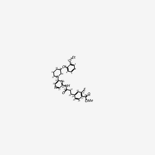 CCOc1ccccc1OC1CCCN(c2cncc(NC(=O)CCc3ccc(C(=O)OC)c(F)c3)n2)C1